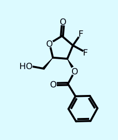 O=C(O[C@H]1[C@@H](CO)OC(=O)C1(F)F)c1ccccc1